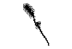 CCCCCCCCCCCCCCCCCC(=O)Oc1ccc(CCCSCCC(F)(F)C(F)(F)C(F)(F)C(F)(F)C(F)(F)C(F)(F)C(F)(F)C(F)(F)F)cc1OC